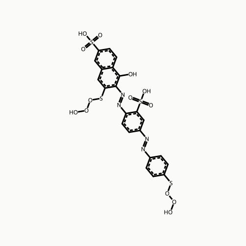 O=S(=O)(O)c1ccc2c(O)c(/N=N/c3ccc(/N=N/c4ccc(SOOO)cc4)cc3S(=O)(=O)O)c(SOOO)cc2c1